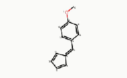 COc1ccc(C=C2C=CC=C2)cc1